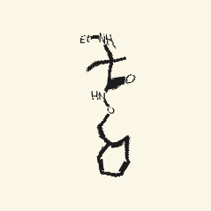 CCNC(C)(C)C(=O)NOCc1ccccc1